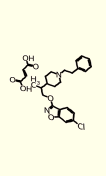 CC(COc1noc2cc(Cl)ccc12)C1CCN(CCc2ccccc2)CC1.O=C(O)C=CC(=O)O